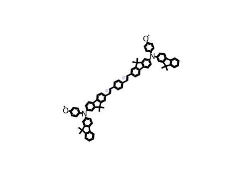 COc1ccc(N(c2ccc3c(c2)C(C)(C)c2ccccc2-3)c2ccc3c(c2)C(C)(C)c2cc(/C=C/c4ccc(/C=C/c5ccc6c(c5)C(C)(C)c5cc(N(c7ccc(OC)cc7)c7ccc8c(c7)C(C)(C)c7ccccc7-8)ccc5-6)cc4)ccc2-3)cc1